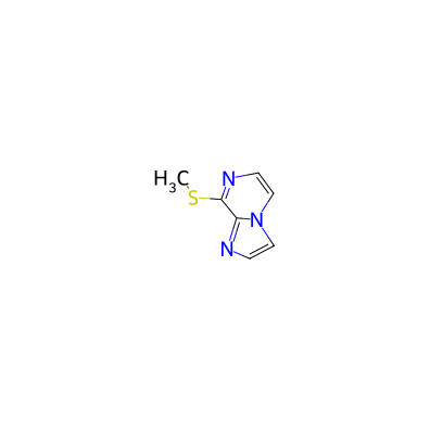 CSc1nccn2ccnc12